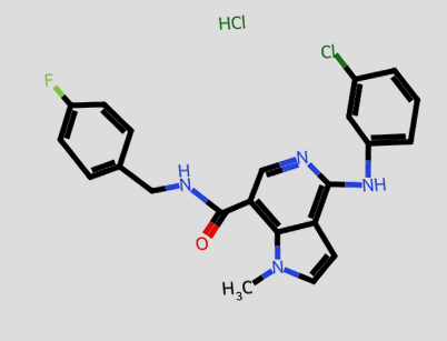 Cl.Cn1ccc2c(Nc3cccc(Cl)c3)ncc(C(=O)NCc3ccc(F)cc3)c21